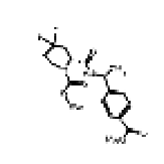 COC(=O)c1ccc([C@H](C)NC(=O)[C@H]2CC(F)(F)CCN2C(=O)OC(C)(C)C)cc1